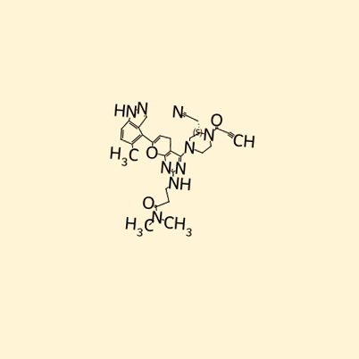 C#CC(=O)N1CCN(c2nc(NCCC(=O)N(C)C)nc3c2CC=C(c2c(C)ccc4[nH]ncc24)O3)C[C@@H]1CC#N